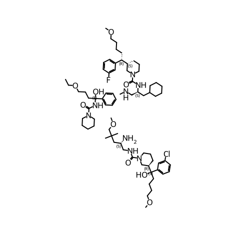 CCOCCC[C@@](O)(NC(=O)N1CCCCC1)c1ccccc1.CNC[C@H](CC1CCCCC1)NC(=O)N1CCC[C@@H]([C@@H](CCCCOC)c2cccc(F)c2)C1.COCCCC[C@@](O)(c1cccc(Cl)c1)[C@@H]1CCCN(C(=O)NC[C@@H](N)CC(C)(C)COC)C1